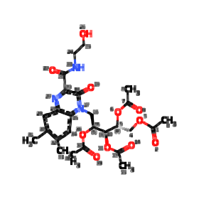 CC(=O)OC[C@@H](OC(C)=O)[C@@H](OC(C)=O)[C@H](Cn1c(=O)c(C(=O)NCCO)nc2cc(C)c(C)cc21)OC(C)=O